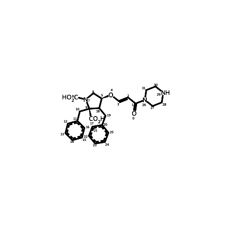 O=C(/C=C/O[C@@H]1CN(C(=O)O)[C@](Cc2ccccc2)(C(=O)O)C1Cc1ccccc1)N1CCNCC1